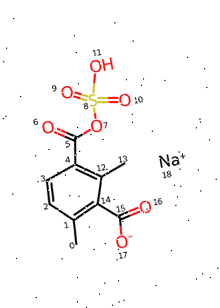 Cc1ccc(C(=O)OS(=O)(=O)O)c(C)c1C(=O)[O-].[Na+]